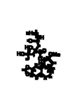 CCCCCCNC(=O)C[C@](O)(CC(C)(C)O)C(=O)OC1C(OC)=C[C@]23CCCN2CCc2cc4c(cc2[C@H]13)OCO4